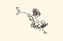 COc1c(-c2cccc3[nH]c(CCN(C)C)nc23)ccc(C(=O)N(C)c2ccc(C)cc2OCCCCCC(=O)N2CCN(C)CC2)c1C(N)=O.Cl.Cl.Cl